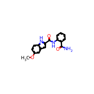 COc1ccc2[nH]c(C(=O)Nc3ccccc3C(N)=O)cc2c1